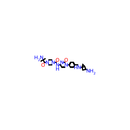 CC(C)(N)C(=O)N1CCN(C(=O)Nc2ccn(-c3ccc(CNC45CC4[C@@H](N)C5)cc3)c(=O)n2)CC1